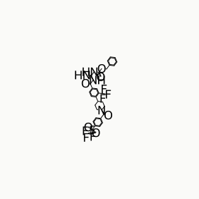 N=C(NC(=O)OCc1ccccc1)NC(=O)c1ccc(C2CCN(C(=O)c3ccc(S(=O)(=O)C(F)(F)F)cc3)CC2)c(C(F)(F)F)c1